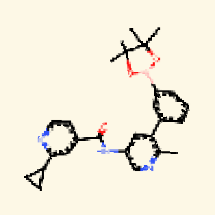 Cc1ncc(NC(=O)c2ccnc(C3CC3)c2)cc1-c1cccc(B2OC(C)(C)C(C)(C)O2)c1